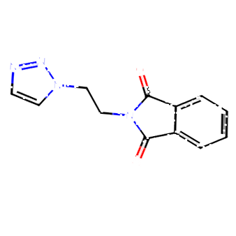 O=C1c2ccccc2C(=O)N1CCn1ccnn1